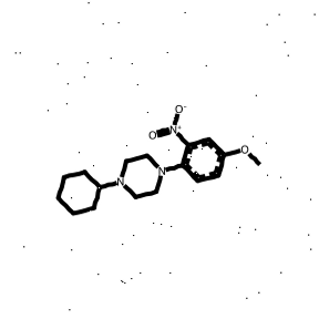 COc1ccc(N2CCN(C3CCCCC3)CC2)c([N+](=O)[O-])c1